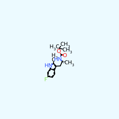 Cc1[nH]c2cc(F)ccc2c1C[C@@H](C)NC(=O)OC(C)(C)C